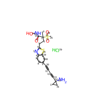 CC(CCc1nc2ccc(C#CC#CC3(N)CC3)cc2s1)(C(=O)NO)S(C)(=O)=O.Cl